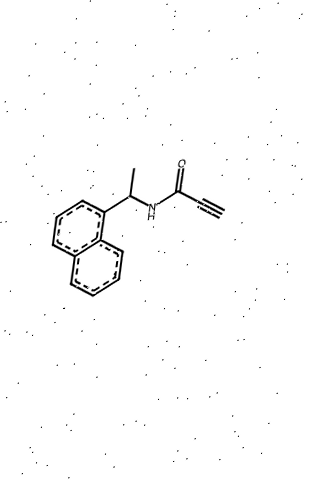 C#CC(=O)NC(C)c1cccc2ccccc12